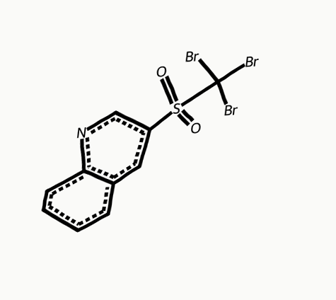 O=S(=O)(c1cnc2ccccc2c1)C(Br)(Br)Br